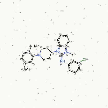 COc1ccc(NC(C)=O)c(N2CCC(n3c(=N)n(Cc4ccccc4Cl)c4ccccc43)CC2)c1